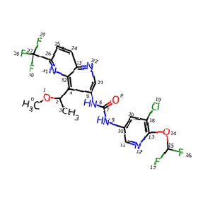 COC(C)c1c(NC(=O)Nc2cnc(OC(F)F)c(Cl)c2)cnc2ccc(C(F)(F)F)nc12